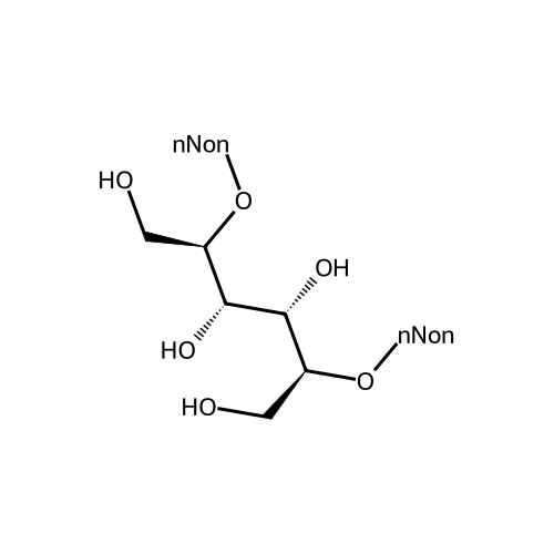 CCCCCCCCCO[C@@H](CO)[C@@H](O)[C@H](O)[C@@H](CO)OCCCCCCCCC